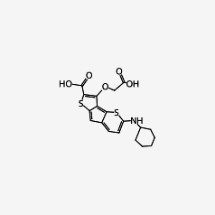 O=C(O)COc1c(C(=O)O)sc2cc3ccc(NC4CCCCC4)sc-3c12